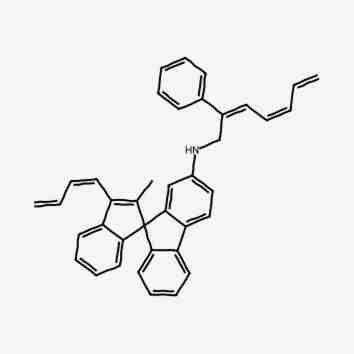 C=C/C=C\C=C(/CNc1ccc2c(c1)C1(C(C)=C(/C=C\C=C)c3ccccc31)c1ccccc1-2)c1ccccc1